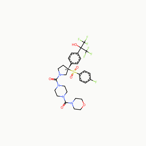 O=C(N1CCOCC1)N1CCN(C(=O)N2CC[C@](c3ccc(C(O)(C(F)(F)F)C(F)(F)F)cc3)(S(=O)(=O)c3ccc(F)cc3)C2)CC1